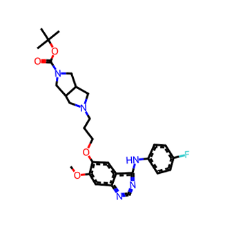 COc1cc2ncnc(Nc3ccc(F)cc3)c2cc1OCCCN1CC2CN(C(=O)OC(C)(C)C)CC2C1